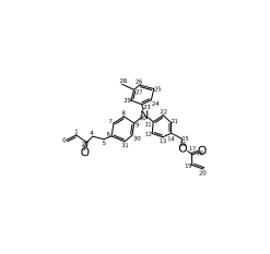 C=CC(=O)CCc1ccc(N(c2ccc(COC(=O)C=C)cc2)c2cccc(C)c2)cc1